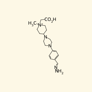 C[N+]1(CC(=O)O)CCC(N2CCN(c3ccc(C=NN)cc3)CC2)CC1